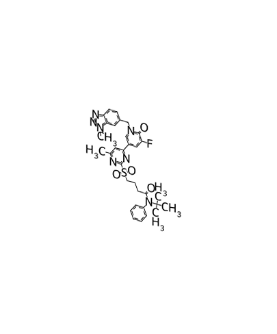 Cc1cc(-c2cc(F)c(=O)n(Cc3ccc4nnn(C)c4c3)c2)nc(S(=O)(=O)CCCC(=O)N(c2ccccc2)C(C)(C)C)n1